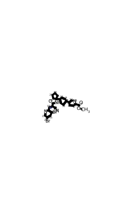 COC(=O)c1ccc(-c2ccc(C3(NC(=O)/C(C#N)=C/c4ncc(Br)cc4Br)CCCC3)cc2)cn1